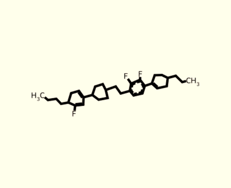 CCCCC1CC=C(C2CCC(CCc3ccc(C4=CCC(CCC)CC4)c(F)c3F)CC2)C=C1F